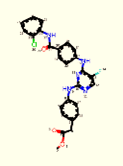 COC(=O)Cc1ccc(Nc2ncc(F)c(Nc3ccc(C(=O)Nc4ccccc4Cl)cc3)n2)cc1